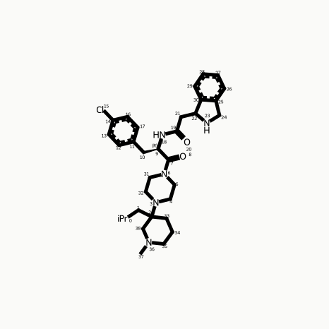 CC(C)CC1(N2CCN(C(=O)[C@@H](Cc3ccc(Cl)cc3)NC(=O)CC3NCc4ccccc43)CC2)CCCN(C)C1